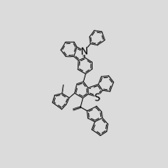 C=C(c1ccc2ccccc2c1)c1c(-c2ccccc2C)cc(-c2ccc3c(c2)c2ccccc2n3-c2ccccc2)c2c1sc1ccccc12